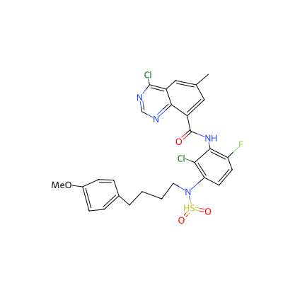 COc1ccc(CCCCN(c2ccc(F)c(NC(=O)c3cc(C)cc4c(Cl)ncnc34)c2Cl)[SH](=O)=O)cc1